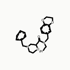 CC(C)CN(Cc1ccc2c(c1)OCCO2)C(=O)C1CN(Cc2ccccc2)CCO1